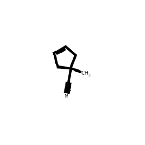 CC1(C#N)CC=CC1